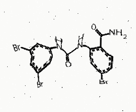 NC(=O)c1ccc(Br)cc1NC(=O)Nc1cc(Br)cc(Br)c1